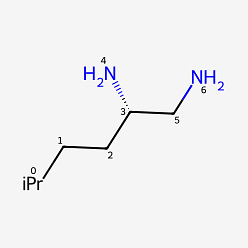 CC(C)CC[C@H](N)CN